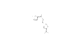 CC(C)C1CCN(CCC(C)C2CCNC2)C1